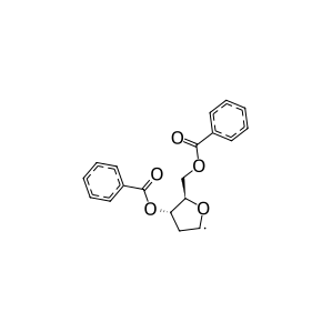 O=C(OC[C@H]1O[CH]C[C@@H]1OC(=O)c1ccccc1)c1ccccc1